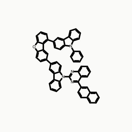 c1ccc(-n2c3ccccc3c3cc(-c4cccc5oc6ccc(-c7ccc8c(c7)c7ccccc7n8-c7nc(-c8ccc9ccccc9c8)c8ccccc8n7)cc6c45)ccc32)cc1